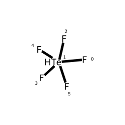 F[TeH](F)(F)(F)F